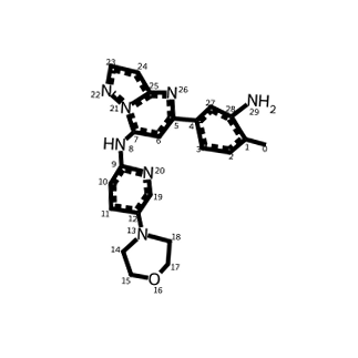 Cc1ccc(-c2cc(Nc3ccc(N4CCOCC4)cn3)n3nccc3n2)cc1N